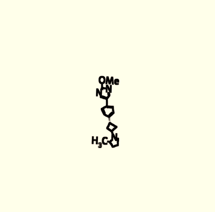 COc1ncc(-c2ccc([C@H]3C[C@H](N4CCC[C@H]4C)C3)cc2)cn1